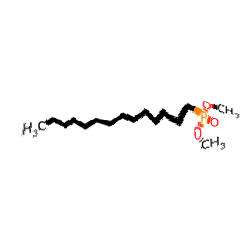 CCCCCCCCCCCCCCP(=O)(OC)OC